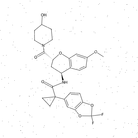 COc1ccc2c(c1)O[C@@H](C(=O)N1CCC(O)CC1)C[C@@H]2NC(=O)C1(c2ccc3c(c2)OC(F)(F)O3)CC1